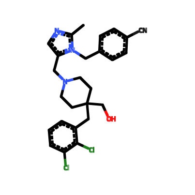 Cc1ncc(CN2CCC(CO)(Cc3cccc(Cl)c3Cl)CC2)n1Cc1ccc(C#N)cc1